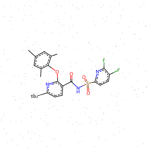 Cc1cc(C)c(Oc2nc(C(C)(C)C)ccc2C(=O)NS(=O)(=O)c2ccc(F)c(F)n2)c(C)c1